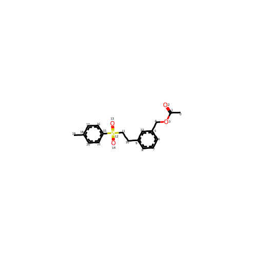 CC(=O)OCc1cccc(CCS(=O)(=O)c2ccc(C)cc2)c1